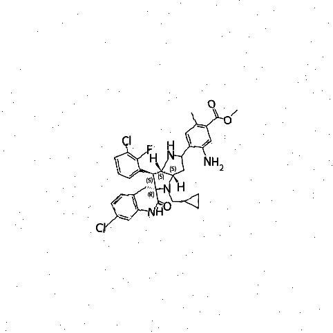 COC(=O)c1cc(N)c(C2C[C@H]3[C@@H](N2)[C@H](c2cccc(Cl)c2F)[C@@]2(Cc4ccc(Cl)cc4NC2=O)N3CC2CC2)cc1C